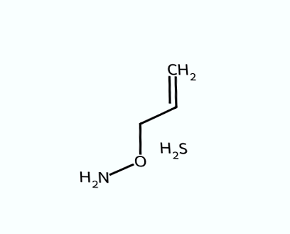 C=CCON.S